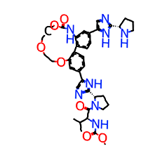 COC(=O)N[C@H](C(=O)N1CCC[C@H]1c1ncc(-c2ccc3c(c2)OCCOCCOC(=O)Nc2cc(-c4cnc([C@@H]5CCCN5)[nH]4)ccc2-3)[nH]1)C(C)C